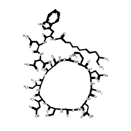 CCC(C)CCCCCCCCC(=O)NC(Cc1c[nH]c2ccccc12)C(=O)NC(CC(N)=O)C(=O)NC(CC(=O)O)C(=O)NC1C(=O)NCC(=O)NC(CCCN)C(=O)NC(CC(=O)O)C(=O)NC(C)C(=O)NC(CC(=O)O)C(=O)NCC(=O)NC(CO)C(=O)NC(C(C)CC(=O)O)C(=O)NC(C(C)CC)C(=O)OC1C